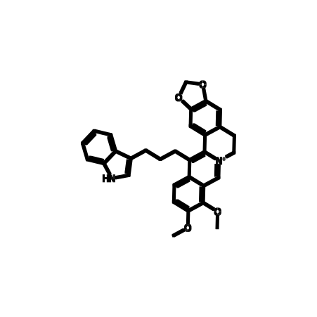 COc1ccc2c(CCCc3c[nH]c4ccccc34)c3[n+](cc2c1OC)CCc1cc2c(cc1-3)OCO2